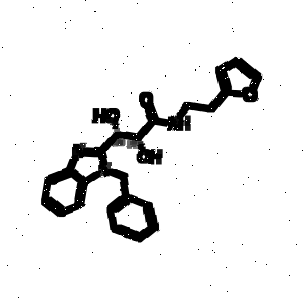 O=C(NCCc1ccco1)[C@H](O)[C@@H](O)c1nc2ccccc2n1Cc1ccccc1